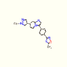 CCn1cc(-c2ccn3c(-c4ccc(-c5noc(C)n5)cc4)cnc3c2)cn1